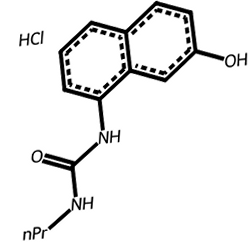 CCCNC(=O)Nc1cccc2ccc(O)cc12.Cl